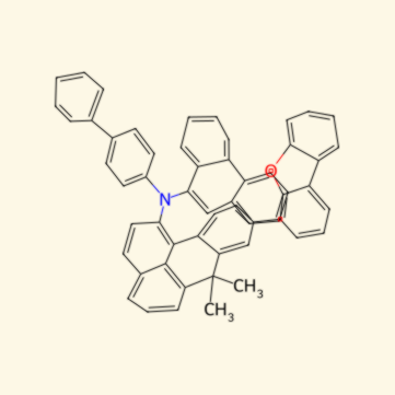 CC1(C)c2cc(-c3cccc4c3oc3ccccc34)ccc2-c2c(N(c3ccc(-c4ccccc4)cc3)c3cc4ccccc4c4ccccc34)ccc3cccc1c23